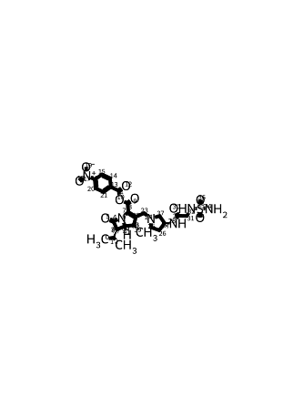 CC(C)[C@H]1C(=O)N2C(C(=O)OC(=O)c3ccc([N+](=O)[O-])cc3)=C(CN3CC[C@H](NC(=O)CNS(N)(=O)=O)C3)[C@H](C)[C@H]12